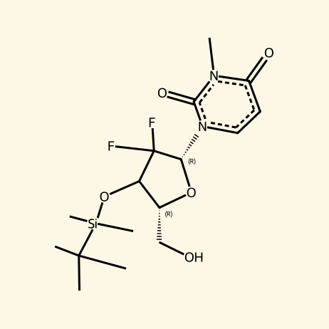 Cn1c(=O)ccn([C@@H]2O[C@H](CO)C(O[Si](C)(C)C(C)(C)C)C2(F)F)c1=O